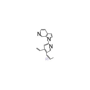 C=Cc1cc(-n2ccc3ccncc32)ncc1/C=C\C